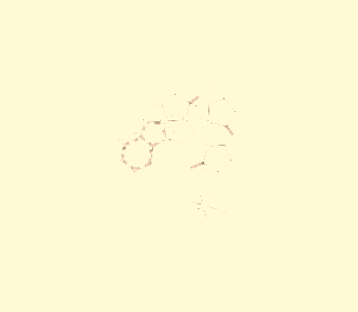 F[P-](F)(F)(F)(F)F.O=C1CCCN1[P+](On1nnc2ccccc21)(N1CCCC1=O)N1CCCC1=O